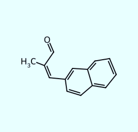 CC(C=O)=Cc1ccc2ccccc2c1